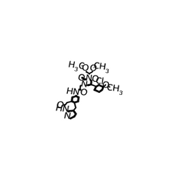 COCC(COC)n1c(=O)c(-c2cccc(OC)c2Cl)cn(CC(=O)Nc2ccc3c(c2)CC(=O)Nc2ncccc2C3)c1=O